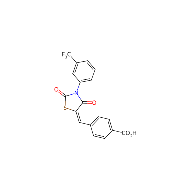 O=C(O)c1ccc(C=C2SC(=O)N(c3cccc(C(F)(F)F)c3)C2=O)cc1